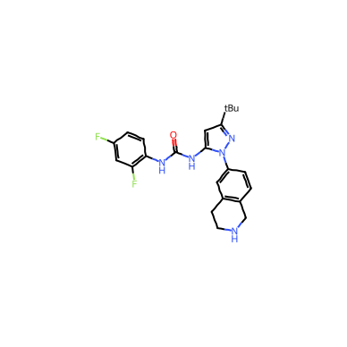 CC(C)(C)c1cc(NC(=O)Nc2ccc(F)cc2F)n(-c2ccc3c(c2)CCNC3)n1